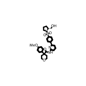 COc1ccc(C2(C(=O)Nc3cccc(-c4ccc(S(=O)(=O)N5CCC[C@@H]5CO)cc4)n3)CCOCC2)cc1